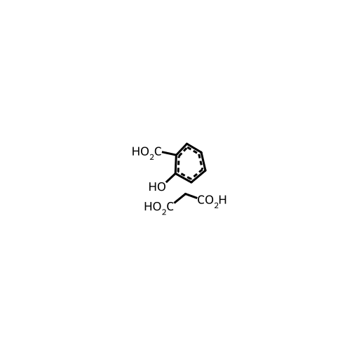 O=C(O)CC(=O)O.O=C(O)c1ccccc1O